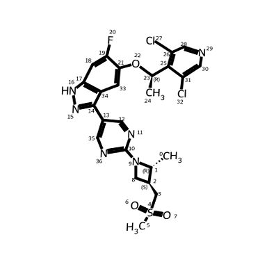 C[C@@H]1[C@@H](CS(C)(=O)=O)CN1c1ncc(-c2n[nH]c3cc(F)c(O[C@H](C)c4c(Cl)cncc4Cl)cc23)cn1